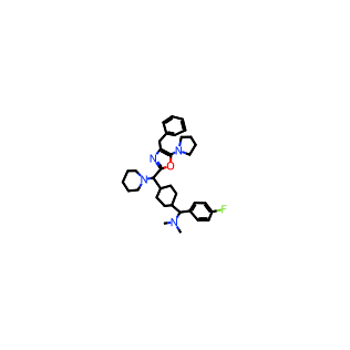 CN(C)C(c1ccc(F)cc1)C1CCC(C(c2nc(Cc3ccccc3)c(N3CCCC3)o2)N2CCCCC2)CC1